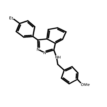 CCc1ccc(-c2nnc(NCc3ccc(OC)cc3)c3ccccc23)cc1